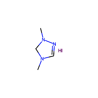 CN1C=NN(C)C1.I